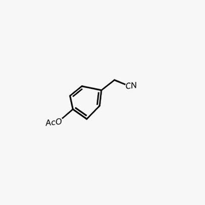 CC(=O)Oc1ccc(CC#N)cc1